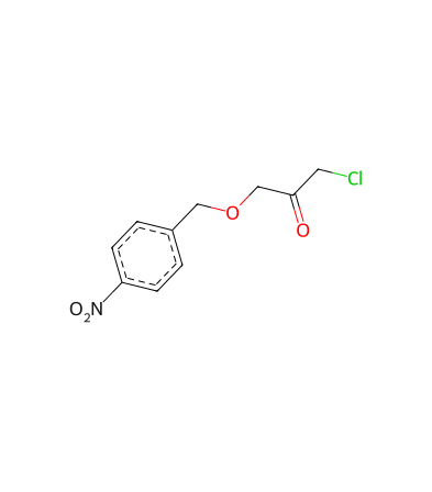 O=C(CCl)COCc1ccc([N+](=O)[O-])cc1